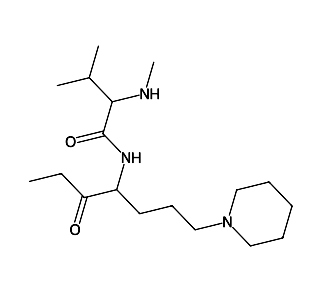 CCC(=O)C(CCCN1CCCCC1)NC(=O)C(NC)C(C)C